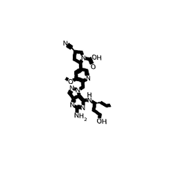 CCC[C@@H](CCO)Nc1nc(N)nc2cnn(Cc3ncc(C4C[C@@H](C#N)CN4C(=O)O)cc3OC)c12